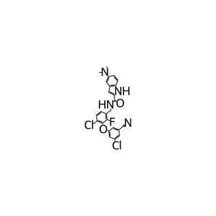 CN(C)c1ccc2[nH]c(C(=O)NCc3ccc(Cl)c(Oc4cc(Cl)cc(C#N)c4)c3F)cc2c1